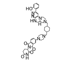 O=C1CCC(N2C(=O)c3ccc(N4CCN(CC5CCC(CN6CCN7c8cc(-c9ccccc9O)nnc8NC[C@H]7C6)CC5)CC4)cc3C2=O)C(=O)N1